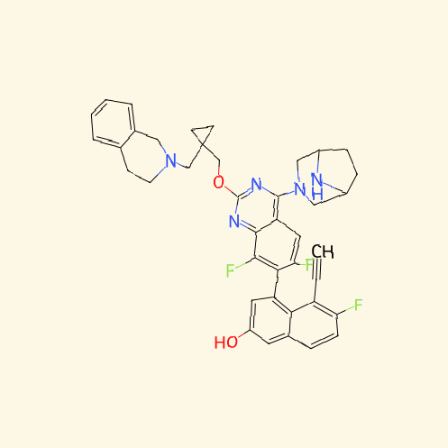 C#Cc1c(F)ccc2cc(O)cc(-c3c(F)cc4c(N5CC6CCC(C5)N6)nc(OCC5(CN6CCc7ccccc7C6)CC5)nc4c3F)c12